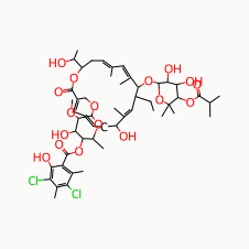 CCC1/C=C(\C)C(O)C/C=C/C=C(\COC2OC(C)C(OC(=O)c3c(C)c(Cl)c(C)c(Cl)c3O)C(O)C2OC)C(=O)OC(C(C)O)C/C=C(C)/C=C(\C)C1OC1OC(C)(C)C(OC(=O)C(C)C)C(O)C1O